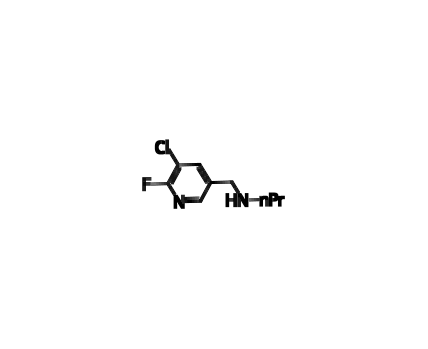 CCCNCc1cnc(F)c(Cl)c1